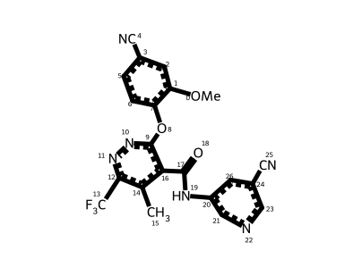 COc1cc(C#N)ccc1Oc1nnc(C(F)(F)F)c(C)c1C(=O)Nc1cncc(C#N)c1